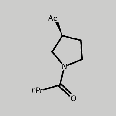 CCCC(=O)N1CC[C@H](C(C)=O)C1